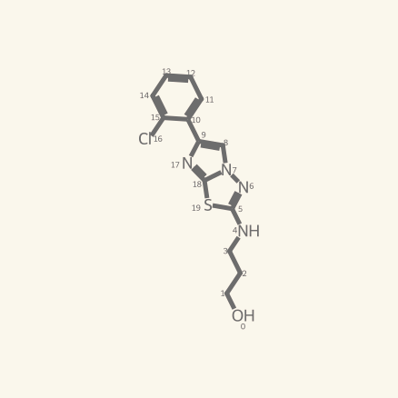 OCCCNc1nn2cc(-c3ccccc3Cl)nc2s1